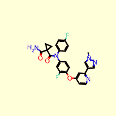 Cn1cc(-c2cc(Oc3ccc(N(C(=O)C4(C(N)=O)CC4)c4ccc(F)cc4)cc3F)ccn2)cn1